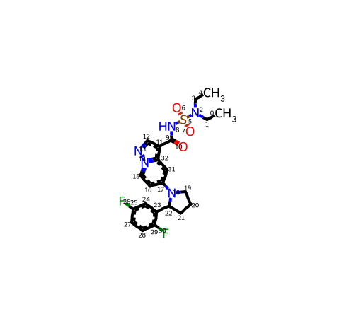 CCN(CC)S(=O)(=O)NC(=O)c1cnn2ccc(N3CCCC3c3cc(F)ccc3F)cc12